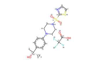 C[C@](O)(c1ccc(N2CCN(S(=O)(=O)c3nccs3)CC2)cc1)C(F)(F)F.O=C(O)C(F)(F)F